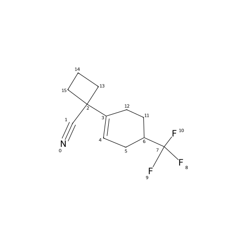 N#CC1(C2=CCC(C(F)(F)F)CC2)CCC1